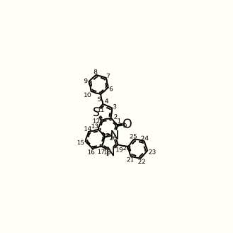 O=c1c2cc(-c3ccccc3)sc2c2cccc3nc(-c4ccccc4)n1c32